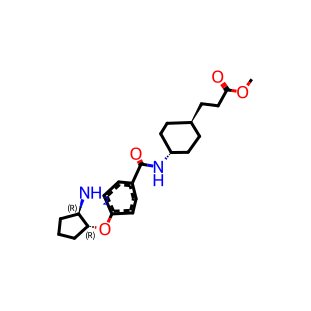 COC(=O)CC[C@H]1CC[C@H](NC(=O)c2ccc(O[C@@H]3CCC[C@H]3N)cc2)CC1